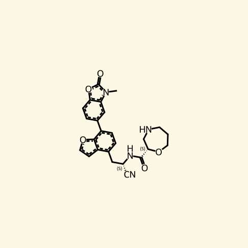 Cn1c(=O)oc2ccc(-c3ccc(C[C@@H](C#N)NC(=O)[C@@H]4CNCCCO4)c4ccoc34)cc21